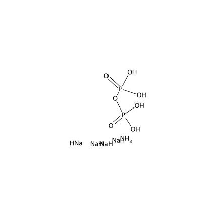 N.O=P(O)(O)OP(=O)(O)O.[NaH].[NaH].[NaH].[NaH]